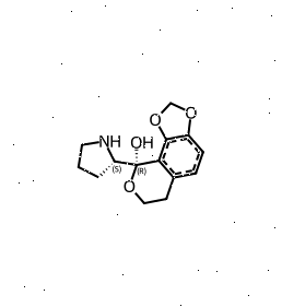 O[C@@]1([C@@H]2CCCN2)OCCc2ccc3c(c21)OCO3